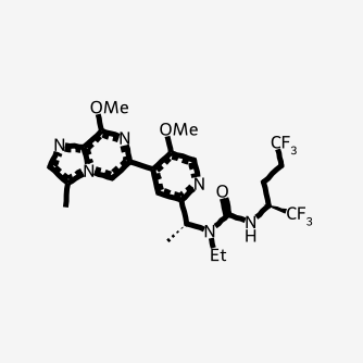 CCN(C(=O)N[C@@H](CCC(F)(F)F)C(F)(F)F)[C@H](C)c1cc(-c2cn3c(C)cnc3c(OC)n2)c(OC)cn1